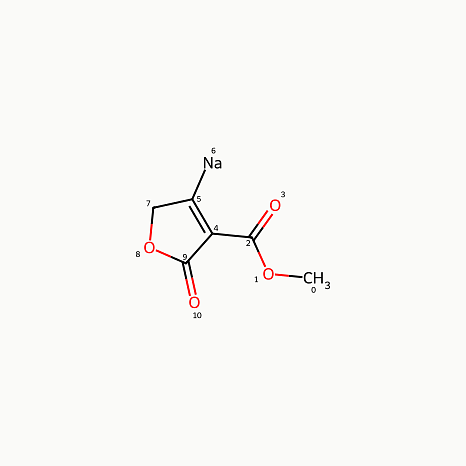 COC(=O)C1=[C]([Na])COC1=O